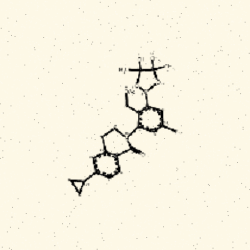 CC(=O)OCc1c(B2OC(C)(C)C(C)(C)O2)cc(F)cc1N1CCc2cc(C3CC3)ccc2C1=O